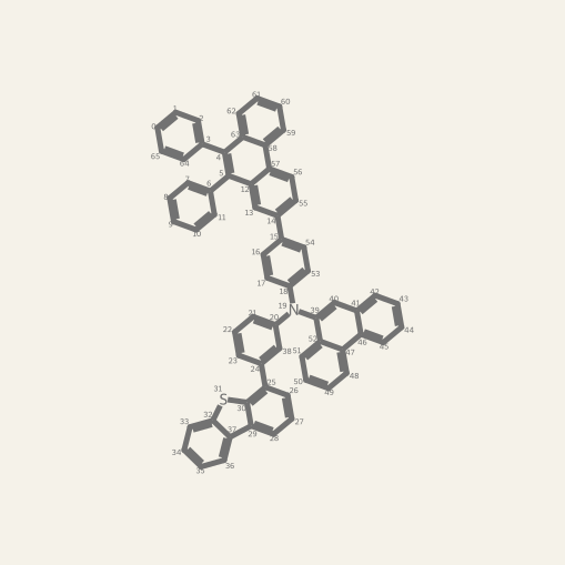 c1ccc(-c2c(-c3ccccc3)c3cc(-c4ccc(N(c5cccc(-c6cccc7c6sc6ccccc67)c5)c5cc6ccccc6c6ccccc56)cc4)ccc3c3ccccc23)cc1